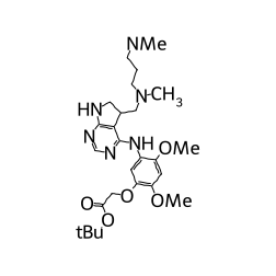 CNCCCN(C)CC1CNc2ncnc(Nc3cc(OCC(=O)OC(C)(C)C)c(OC)cc3OC)c21